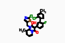 Cc1ccc(-c2cc(-c3c(O)[n+](Cc4cnc(Cl)s4)c4c(C)cccn4c3=O)ccc2F)c(Cl)c1